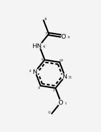 COc1cnc(NC(C)=O)cn1